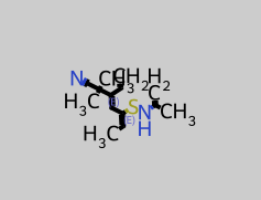 C=C/C(=C\C(=C/C)SNC(=C)C)C(C)(C)C#N